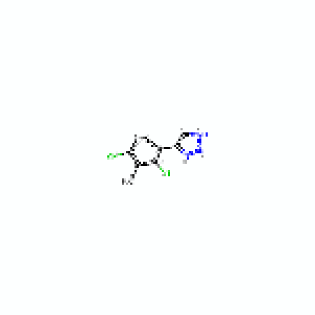 FC(F)(F)c1c(Cl)ccc(-c2c[nH]nn2)c1Cl